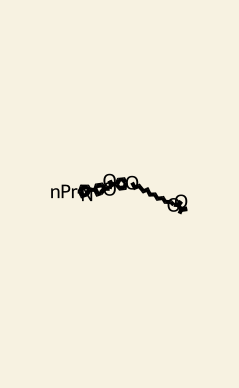 C=C(C)C(=O)OCCCCCCCCCCOc1ccc(C(=O)Oc2ccc(-c3ccc(CCC)cn3)cc2)cc1